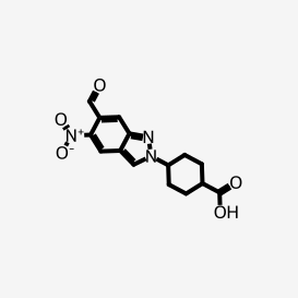 O=Cc1cc2nn(C3CCC(C(=O)O)CC3)cc2cc1[N+](=O)[O-]